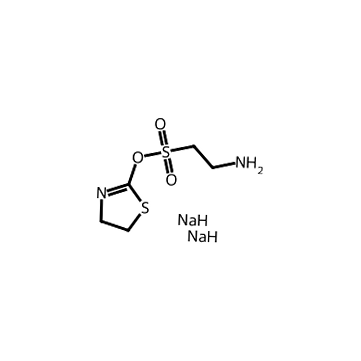 NCCS(=O)(=O)OC1=NCCS1.[NaH].[NaH]